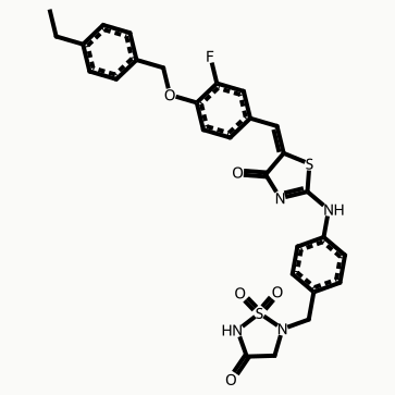 CCc1ccc(COc2ccc(C=C3SC(Nc4ccc(CN5CC(=O)NS5(=O)=O)cc4)=NC3=O)cc2F)cc1